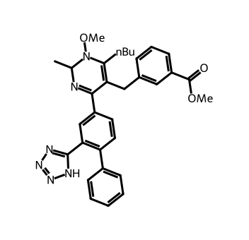 CCCCC1=C(Cc2cccc(C(=O)OC)c2)C(c2ccc(-c3ccccc3)c(-c3nnn[nH]3)c2)=NC(C)N1OC